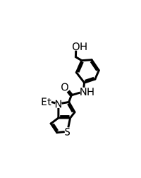 CCn1c(C(=O)Nc2cccc(CO)c2)cc2sccc21